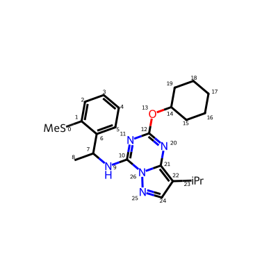 CSc1ccccc1C(C)Nc1nc(OC2CCCCC2)nc2c(C(C)C)cnn12